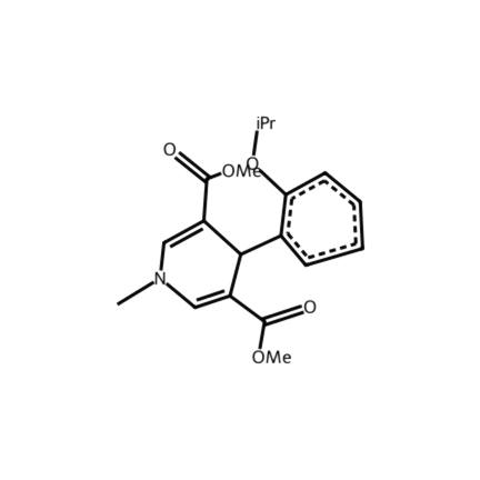 COC(=O)C1=CN(C)C=C(C(=O)OC)C1c1ccccc1OC(C)C